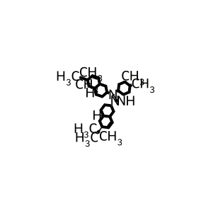 CC1CC2NN(C3CC[C@@H]4C[C@H](C(C)(C)C)C=CC4C3)N(C3CC[C@H]4CC(C(C)(C)C)C=CC4C3)C2CC1C